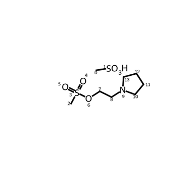 CS(=O)(=O)O.CS(=O)(=O)OCCN1CCCC1